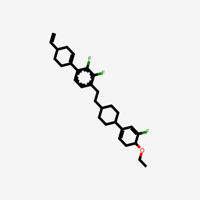 C=CC1CC=C(c2ccc(CCC3CCC(C4=CCC(OCC)C(F)=C4)CC3)c(F)c2F)CC1